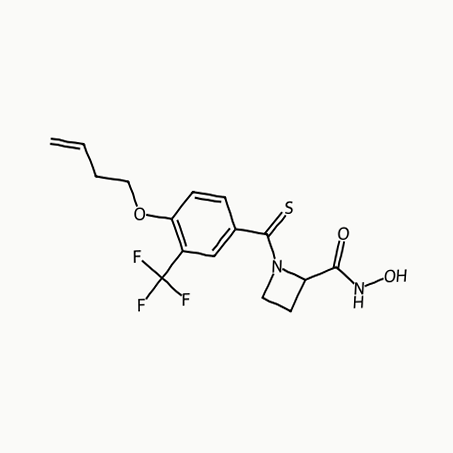 C=CCCOc1ccc(C(=S)N2CCC2C(=O)NO)cc1C(F)(F)F